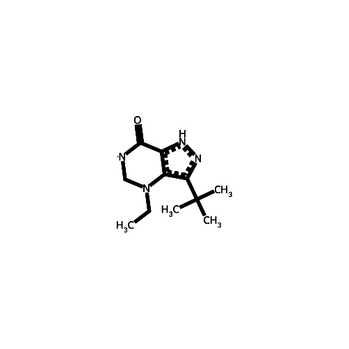 CCN1C[N]C(=O)c2[nH]nc(C(C)(C)C)c21